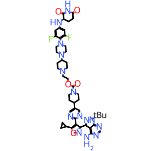 CC(C)(C)n1nc(-c2noc(C3CC3)c2-c2ncc(C3CCN(C(=O)OCCN4CCC(N5CCN(c6c(F)cc(NC7CCC(=O)NC7=O)cc6F)CC5)CC4)CC3)cn2)c2c(N)ncnc21